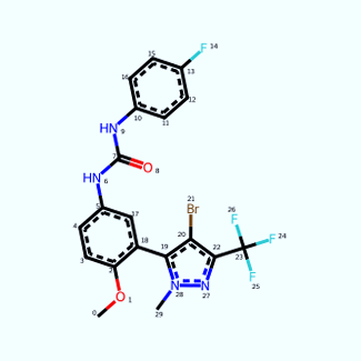 COc1ccc(NC(=O)Nc2ccc(F)cc2)cc1-c1c(Br)c(C(F)(F)F)nn1C